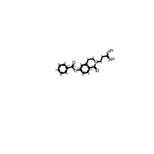 CCCC(=N)CCN1CCc2cc(OC(=O)c3ccccc3)ccc2C1=O